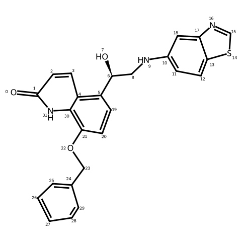 O=c1ccc2c([C@@H](O)CNc3ccc4scnc4c3)ccc(OCc3ccccc3)c2[nH]1